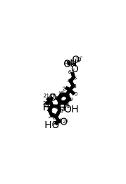 CC(C)(CCCCO[N+](=O)[O-])c1cc(O)c2c(c1)OC(C)(C)[C@@H]1CC=C(C(=O)O)C[C@@H]21